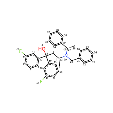 C[C@@H](CC(O)(c1cccc(F)c1)c1cccc(F)c1)N(Cc1ccccc1)[C@@H](C)c1ccccc1